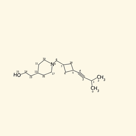 CC(C)C#CC1CC(CN2CCC(CCO)CC2)C1